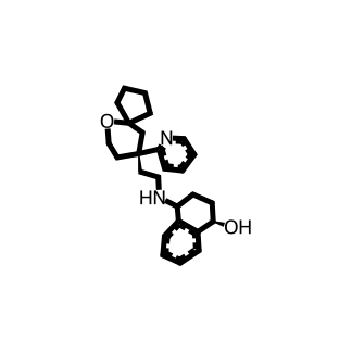 O[C@@H]1CCC(NCC[C@@]2(c3ccccn3)CCOC3(CCCC3)C2)c2ccccc21